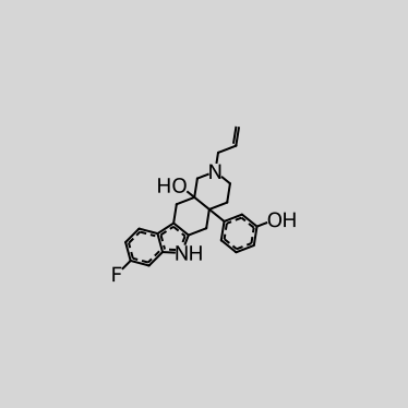 C=CCN1CCC2(c3cccc(O)c3)Cc3[nH]c4cc(F)ccc4c3CC2(O)C1